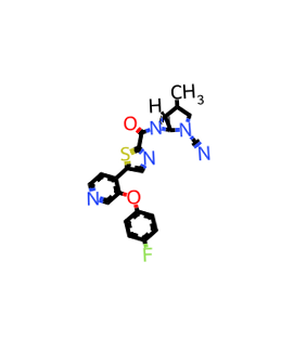 CC1CN(C#N)C2[C@@H]1N2C(=O)c1ncc(-c2ccncc2Oc2ccc(F)cc2)s1